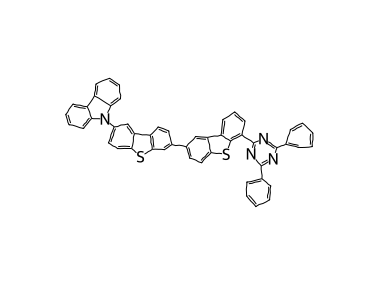 c1ccc(-c2nc(-c3ccccc3)nc(-c3cccc4c3sc3ccc(-c5ccc6c(c5)sc5ccc(-n7c8ccccc8c8ccccc87)cc56)cc34)n2)cc1